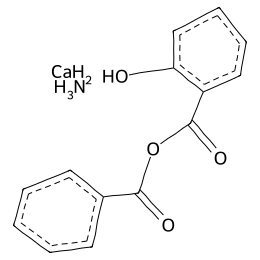 N.O=C(OC(=O)c1ccccc1O)c1ccccc1.[CaH2]